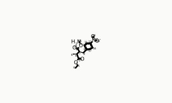 CCOC(=O)[C@@H](C)[C@H](Cc1ccc([N+](=O)[O-])cc1)C(=O)ON